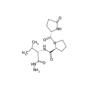 CC(C)[C@H](NC(=O)[C@@H]1CCCN1C(=O)[C@@H]1CCC(=O)N1)C(=O)NN